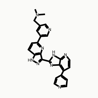 CN(C)Cc1cncc(-c2ccc3[nH]nc(-c4nc5c(-c6ccncc6)ccnc5[nH]4)c3n2)c1